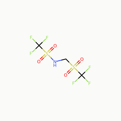 O=S(=O)(CNS(=O)(=O)C(F)(F)F)C(F)(F)F